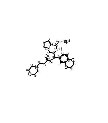 CCCCCCCC(=O)NC(CN1CCCC1)C(OC(=O)CCN1CCOCC1)c1ccc2c(c1)OCCO2